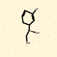 CCC1=CC([C@@H](O)CO)CC=C1